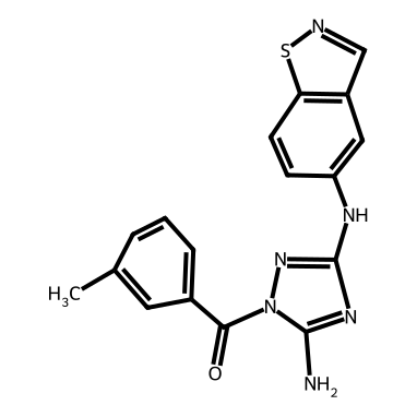 Cc1cccc(C(=O)n2nc(Nc3ccc4sncc4c3)nc2N)c1